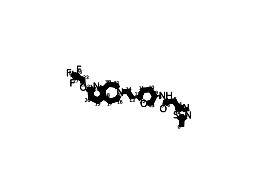 Cc1nnc(CC(=O)N[C@H]2CC[C@H](CCN3CCc4ccc(OCC(F)(F)F)nc4CC3)OC2)s1